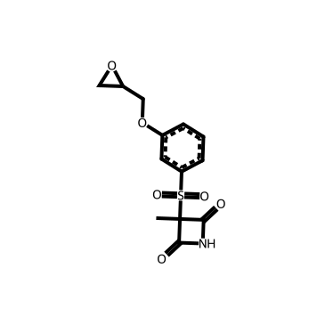 CC1(S(=O)(=O)c2cccc(OCC3CO3)c2)C(=O)NC1=O